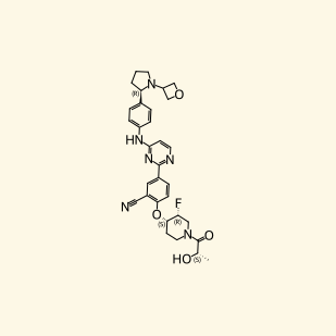 C[C@H](O)C(=O)N1CC[C@H](Oc2ccc(-c3nccc(Nc4ccc([C@H]5CCCN5C5COC5)cc4)n3)cc2C#N)[C@H](F)C1